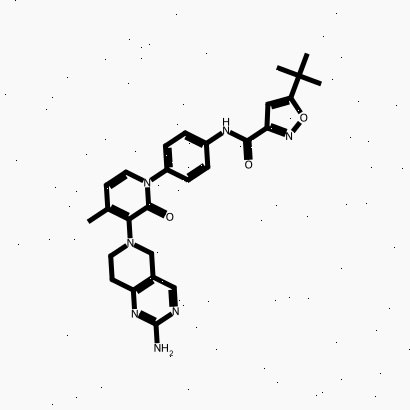 Cc1ccn(-c2ccc(NC(=O)c3cc(C(C)(C)C)on3)cc2)c(=O)c1N1CCc2nc(N)ncc2C1